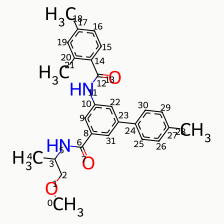 COCC(C)NC(=O)c1cc(NC(=O)c2ccc(C)cc2C)cc(-c2ccc(C)cc2)c1